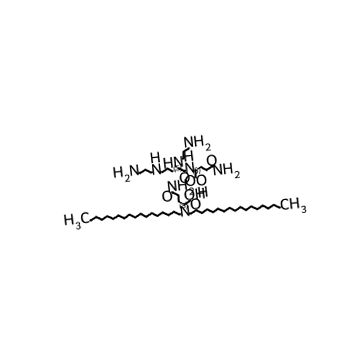 CCCCCCCCCCCCCCCCCCN(CCCCCCCCCCCCCCCCCC)[C@@H](CCC(N)=O)C(=O)O.NCCCNCCC[C@H](NCCCN)C(=O)N[C@@H](CCC(N)=O)C(=O)O